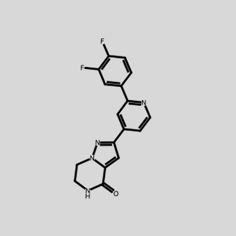 O=C1NCCn2nc(-c3ccnc(-c4ccc(F)c(F)c4)c3)cc21